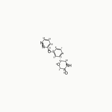 O=C1CO[C@H](c2cccc(Oc3cccnn3)c2)CN1